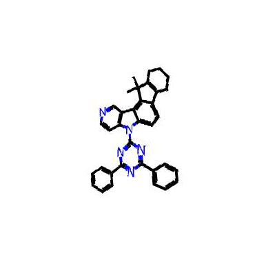 CC1(C)C2=C(CCCC2)c2ccc3c(c21)c1cnccc1n3-c1nc(-c2ccccc2)nc(-c2ccccc2)n1